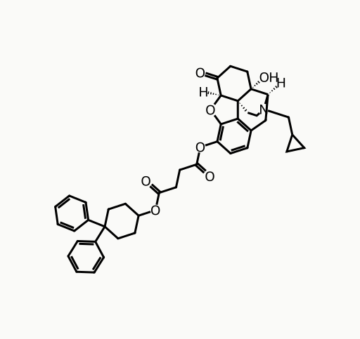 O=C(CCC(=O)OC1CCC(c2ccccc2)(c2ccccc2)CC1)Oc1ccc2c3c1O[C@H]1C(=O)CC[C@@]4(O)[C@@H](C2)N(CC2CC2)CC[C@]314